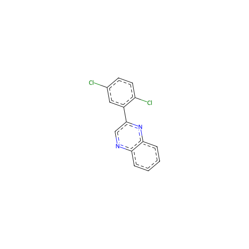 Clc1ccc(Cl)c(-c2cnc3ccccc3n2)c1